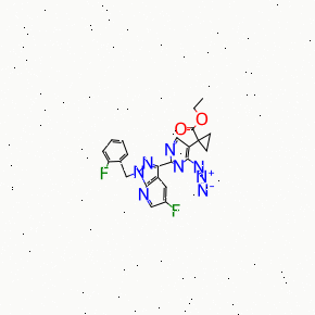 CCOC(=O)C1(c2cnc(-c3nn(Cc4ccccc4F)c4ncc(F)cc34)nc2N=[N+]=[N-])CC1